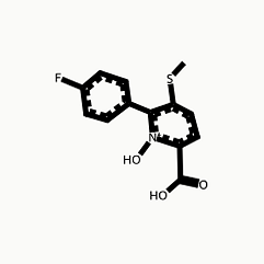 CSc1ccc(C(=O)O)[n+](O)c1-c1ccc(F)cc1